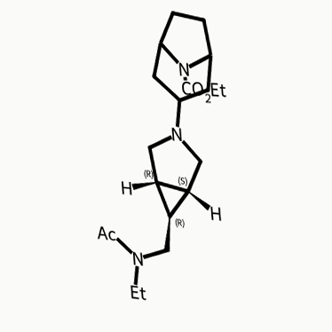 CCOC(=O)N1C2CCC1CC(N1C[C@@H]3[C@@H](CN(CC)C(C)=O)[C@@H]3C1)C2